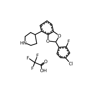 Fc1cc(Cl)ccc1C1Oc2cccc(C3CCNCC3)c2O1.O=C(O)C(F)(F)F